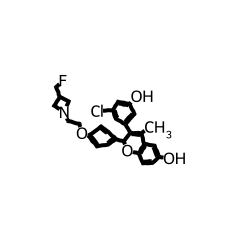 CC1=C(c2cc(O)cc(Cl)c2)C(c2ccc(OCCN3CC(CF)C3)cc2)Oc2ccc(O)cc21